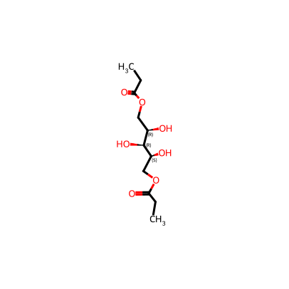 CCC(=O)OC[C@@H](O)[C@H](O)[C@@H](O)COC(=O)CC